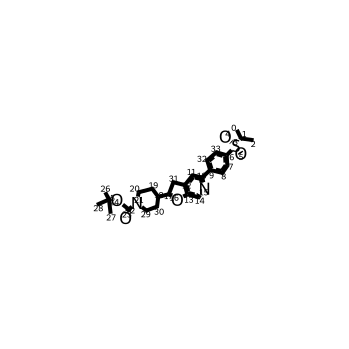 CC(C)S(=O)(=O)c1ccc(-c2cc3c(cn2)OC(C2CCN(C(=O)OC(C)(C)C)CC2)C3)cc1